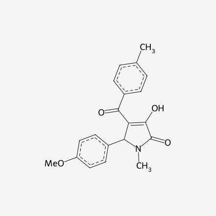 COc1ccc(C2C(C(=O)c3ccc(C)cc3)=C(O)C(=O)N2C)cc1